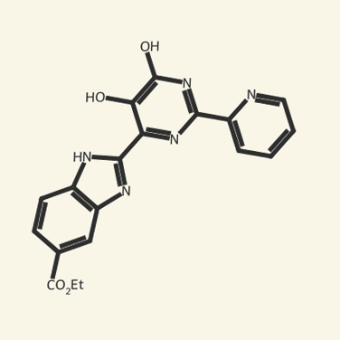 CCOC(=O)c1ccc2[nH]c(-c3nc(-c4ccccn4)nc(O)c3O)nc2c1